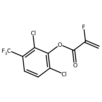 C=C(F)C(=O)Oc1c(Cl)ccc(C(F)(F)F)c1Cl